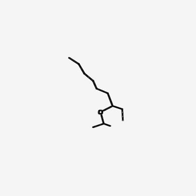 CCCCCCC(CC)OC(C)C